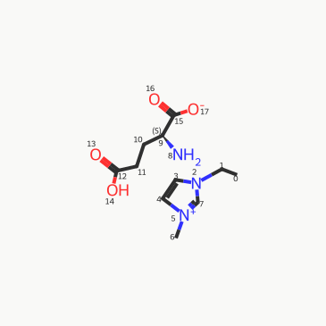 CCn1cc[n+](C)c1.N[C@@H](CCC(=O)O)C(=O)[O-]